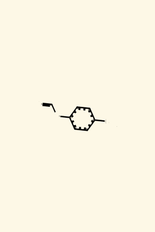 Bc1ccc(OC=O)cc1